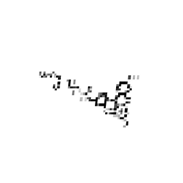 COCC(=O)NCCNC(=S)Nc1ccc(-c2c3ccc(=O)cc-3oc3cc(O)ccc23)c(C(=O)O)c1